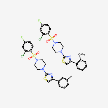 COc1ccccc1-c1csc(N2CCN(S(=O)(=O)c3ccc(F)cc3Cl)CC2)n1.Cc1cccc(-c2csc(N3CCN(S(=O)(=O)c4ccc(F)cc4Cl)CC3)n2)c1